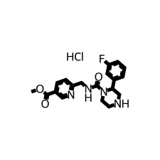 COC(=O)c1ccc(CNC(=O)N2CCNCC2c2cccc(F)c2)nc1.Cl